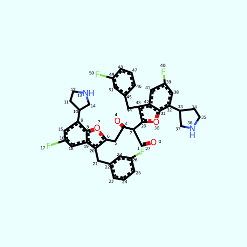 O=CC(C(=O)Cc1oc2c(C3CCNC3)cc(F)cc2c1Cc1cccc(F)c1)c1oc2c(C3CCNC3)cc(F)cc2c1Cc1cccc(F)c1